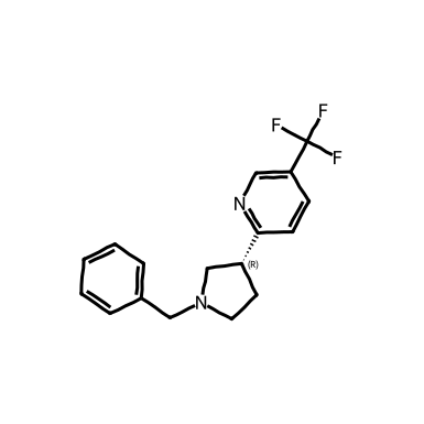 FC(F)(F)c1ccc([C@@H]2CCN(Cc3ccccc3)C2)nc1